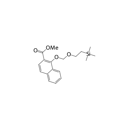 COC(=O)c1ccc2ccccc2c1OCOCC[Si](C)(C)C